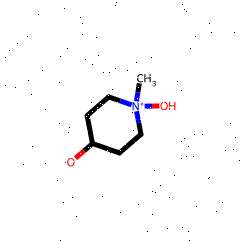 C[N+]1(O)CCC([O])CC1